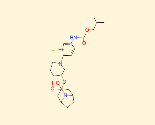 CC(C)COC(=O)Nc1ccc(N2CCCC(OC(=O)N3C4CCC3CC(O)C4)C2)c(F)c1